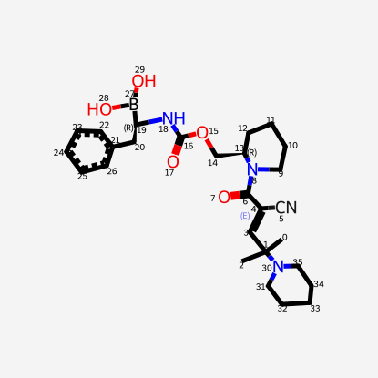 CC(C)(/C=C(\C#N)C(=O)N1CCCC[C@@H]1COC(=O)N[C@@H](Cc1ccccc1)B(O)O)N1CCCCC1